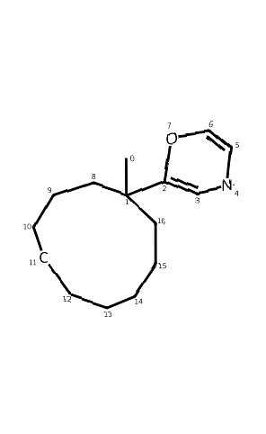 CC1(C2=C[N]C=CO2)CCCCCCCCC1